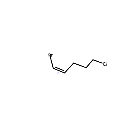 ClCCC/C=C\Br